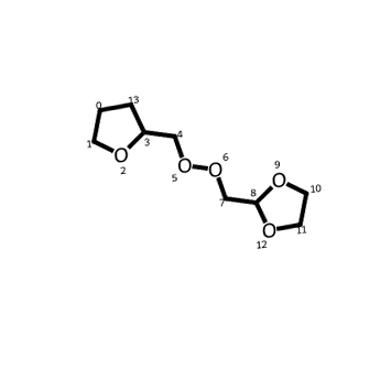 C1COC(COOCC2OCCO2)C1